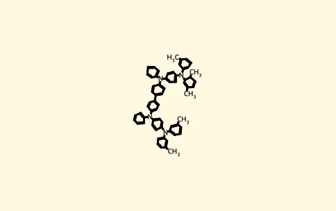 CC1=CC(N(c2ccc(N(c3ccccc3)c3ccc(-c4ccc(N(c5ccccc5)c5ccc(N(c6cccc(C)c6)c6cccc(C)c6)cc5)cc4)cc3)cc2)c2cccc(C)c2)C(C)C=C1